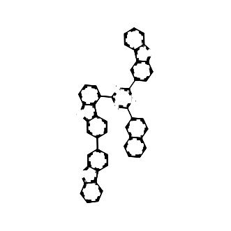 c1ccc2cc(-c3nc(-c4ccc5sc6ccccc6c5c4)nc(-c4cccc5oc6cc(-c7ccc8c(c7)sc7ccccc78)ccc6c45)n3)ccc2c1